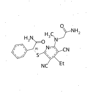 CCc1c(C#N)c(S[C@@H](C(N)=O)c2ccccc2)nc(N(C)CC(N)=O)c1C#N